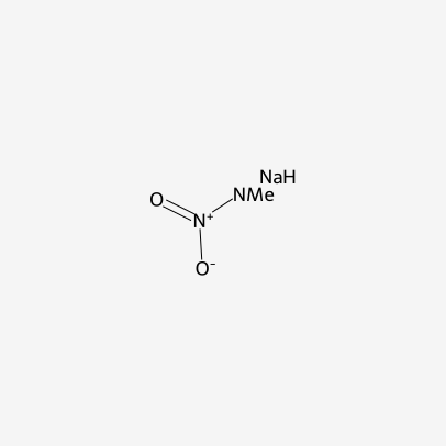 CN[N+](=O)[O-].[NaH]